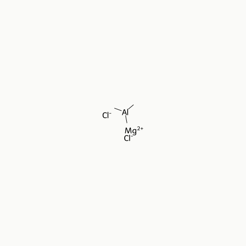 [CH3][Al]([CH3])[CH3].[Cl-].[Cl-].[Mg+2]